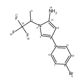 CC(n1cc(-c2ccc(Br)cc2)cc1N)C(F)(F)F